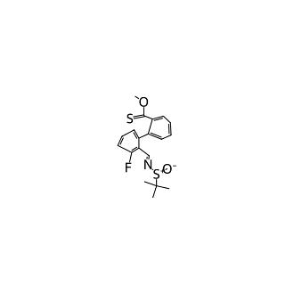 COC(=S)c1ccccc1-c1cccc(F)c1/C=N/[S+]([O-])C(C)(C)C